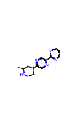 CC1CN(c2cnc(-c3ncccn3)cn2)CCN1